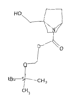 CC(C)(C)[Si](C)(C)OCOC(=O)N1C2CCC1(CO)CC2